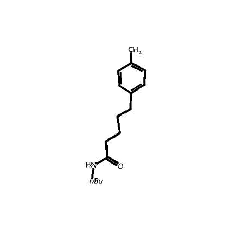 CCCCNC(=O)CCCCc1ccc(C)cc1